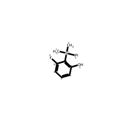 CC(C)[Si](C)(C)c1c(O)cccc1F